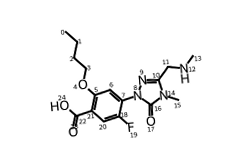 CCCCOc1cc(-n2nc(CNC)n(C)c2=O)c(F)cc1C(=O)O